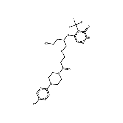 O=C(CCOCC(CCO)Oc1cn[nH]c(=O)c1C(F)(F)F)N1CCN(c2ncc(Cl)cn2)CC1